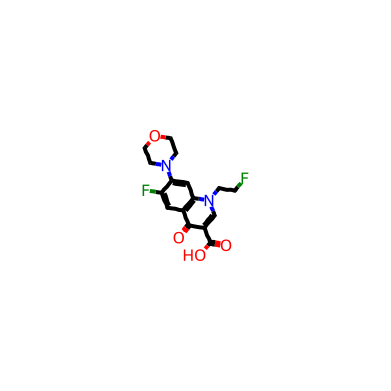 O=C(O)c1cn(CCF)c2cc(N3CCOCC3)c(F)cc2c1=O